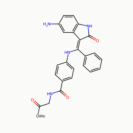 COC(=O)CNC(=O)c1ccc(NC(=C2C(=O)Nc3ccc(N)cc32)c2ccccc2)cc1